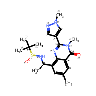 Cc1cc([C@@H](C)N[S@+]([O-])C(C)(C)C)c2nc(-c3cnn(C)c3)n(C)c(=O)c2c1